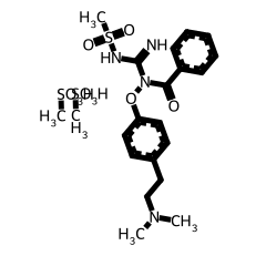 CN(C)CCc1ccc(ON(C(=N)NS(C)(=O)=O)C(=O)c2ccccc2)cc1.CS(=O)(=O)O.CS(=O)(=O)O